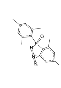 Cc1cc(C)c(P(=O)(N=[N+]=[N-])c2c(C)cc(C)cc2C)c(C)c1